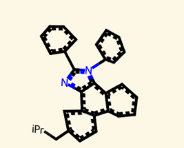 CC(C)Cc1ccc2c3ccccc3c3c(nc(-c4ccccc4)n3-c3ccccc3)c2c1